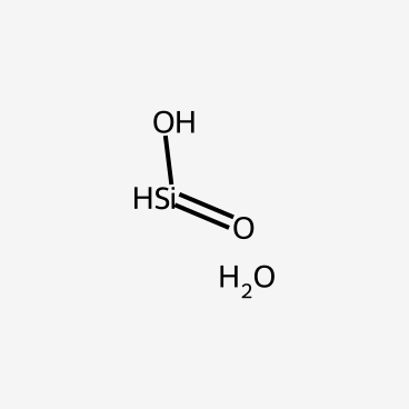 O.O=[SiH]O